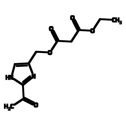 CCOC(=O)CC(=O)OCc1c[nH]c(C(C)=O)n1